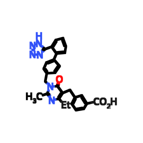 CCc1nc(C)n(Cc2ccc(-c3ccccc3-c3nnn[nH]3)cc2)c(=O)c1Cc1cccc(C(=O)O)c1